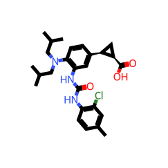 Cc1ccc(NC(=O)Nc2cc([C@H]3C[C@H]3C(=O)O)ccc2N(CC(C)C)CC(C)C)c(Cl)c1